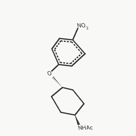 CC(=O)N[C@H]1CC[C@H](Oc2ccc([N+](=O)[O-])cc2)CC1